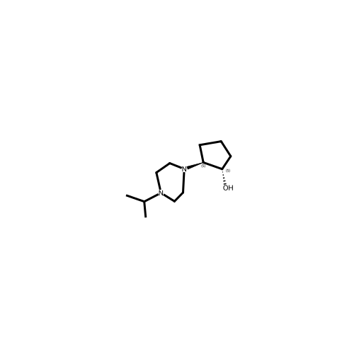 CC(C)N1CCN([C@H]2CCC[C@@H]2O)CC1